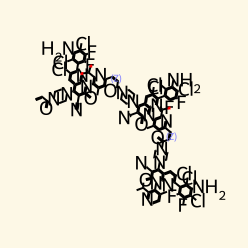 C=CC(=O)N1CCN(c2c(C#N)c(=O)n(-c3c(C)cc(/C=C\C(=O)N4CCN(c5c(C#N)c(=O)n(-c6c(C)cc(/C=C\C(=O)N7CCN(c8c(C#N)c(=O)n(-c9c(C)ccnc9C(C)C)c9nc(-c%10c(F)c(F)c(Cl)c(N)c%10Cl)c(Cl)cc89)CC7)nc6C(C)C)c6nc(-c7c(F)c(F)c(Cl)c(N)c7Cl)c(Cl)cc56)CC4)nc3C(C)C)c3nc(-c4c(F)c(F)c(Cl)c(N)c4Cl)c(Cl)cc23)CC1